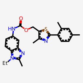 CCn1c(C)nc2cc(NC(=O)OCc3sc(-c4ccc(C)cc4C)nc3C)ccc21